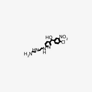 NCCNCCNc1ccc(C(O)c2ccc(Cl)c([N+](=O)[O-])c2)cn1